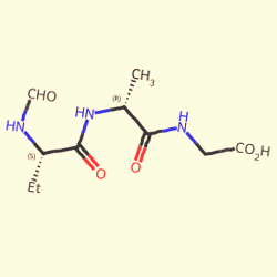 CC[C@H](NC=O)C(=O)N[C@H](C)C(=O)NCC(=O)O